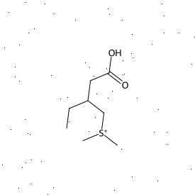 CCC(CC(=O)O)C[S+](C)C